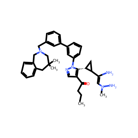 CCCC(=O)c1cnn(-c2cccc(-c3cccc(CN4Cc5ccccc5CC(C)(C)C4)c3)c2)c1[C@@H]1CC1/C(N)=C/N(C)N